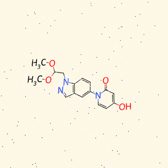 COC(Cn1ncc2cc(-n3ccc(O)cc3=O)ccc21)OC